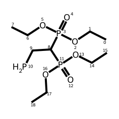 CCOP(=O)(OCC)C(CP)P(=O)(OCC)OCC